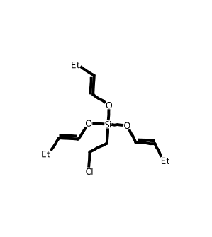 CCC=CO[Si](CCCl)(OC=CCC)OC=CCC